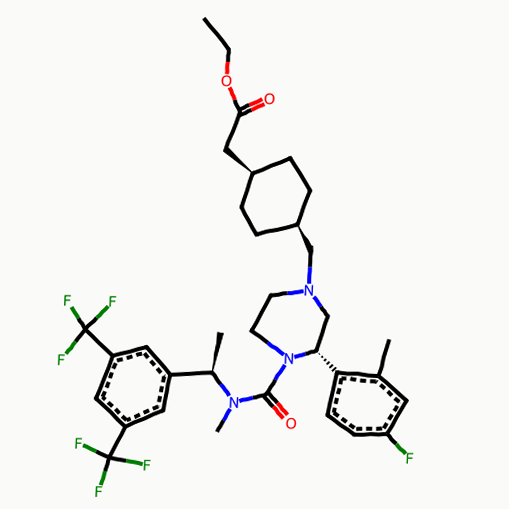 CCOC(=O)C[C@H]1CC[C@@H](CN2CCN(C(=O)N(C)[C@H](C)c3cc(C(F)(F)F)cc(C(F)(F)F)c3)[C@@H](c3ccc(F)cc3C)C2)CC1